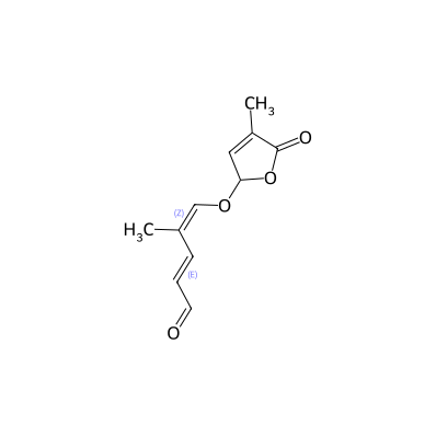 CC1=CC(O/C=C(C)\C=C\C=O)OC1=O